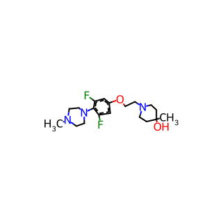 CN1CCN(c2c(F)cc(OCCN3CCC(C)(O)CC3)cc2F)CC1